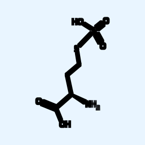 N[C@H](CCSS(=O)(=O)O)C(=O)O